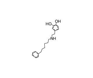 Oc1ccc(CCNCCCCCCc2ccccc2)cc1O